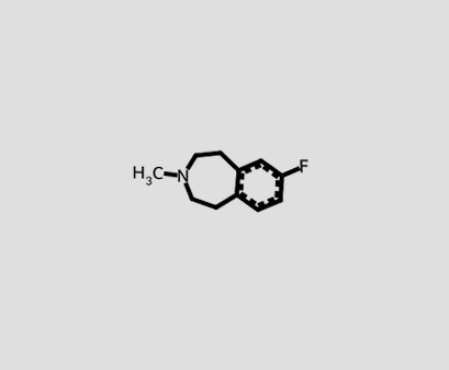 CN1CCc2ccc(F)cc2CC1